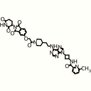 Cc1cccc(C(=O)NC2CC(n3cnc4c(NCCC5CCN(C(=O)COc6ccc7c(c6)C(=O)N([C@H]6CCC(=O)NC6=O)C7=O)CC5)ncnc43)C2)n1